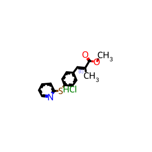 COC(=O)/C(C)=C/c1ccc(Sc2ccccn2)cc1.Cl